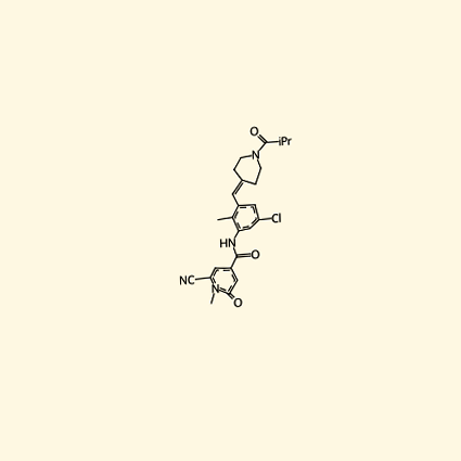 Cc1c(C=C2CCN(C(=O)C(C)C)CC2)cc(Cl)cc1NC(=O)c1cc(C#N)n(C)c(=O)c1